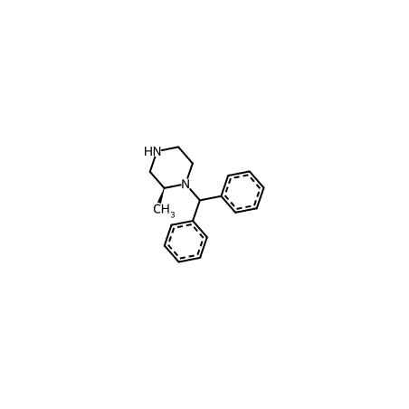 C[C@H]1CNCCN1C(c1ccccc1)c1ccccc1